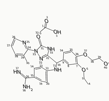 CC(=O)O.CCOc1cc(C(Nc2ccc(C(=N)N)cc2)c2nn(-c3ncccc3C)c(=O)[nH]2)ccc1OCCOC